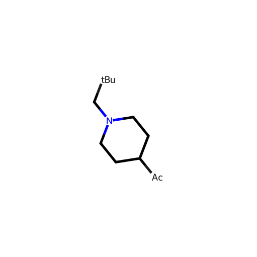 CC(=O)C1CCN(CC(C)(C)C)CC1